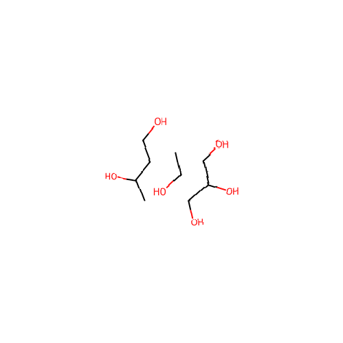 CC(O)CCO.CCO.OCC(O)CO